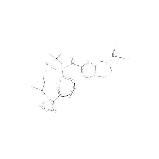 CC(CO[Si](C)(C)C(C)(C)C)n1nnnc1-c1cccc(NC(=O)c2cc3c(cn2)CCN(C(=O)Cl)C3)n1